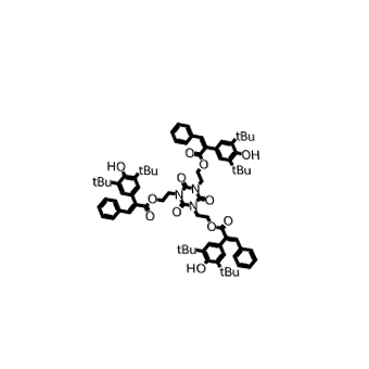 CC(C)(C)c1cc(C(=Cc2ccccc2)C(=O)OCCn2c(=O)n(CCOC(=O)C(=Cc3ccccc3)c3cc(C(C)(C)C)c(O)c(C(C)(C)C)c3)c(=O)n(CCOC(=O)C(=Cc3ccccc3)c3cc(C(C)(C)C)c(O)c(C(C)(C)C)c3)c2=O)cc(C(C)(C)C)c1O